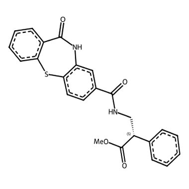 COC(=O)[C@H](CNC(=O)c1ccc2c(c1)NC(=O)c1ccccc1S2)c1ccccc1